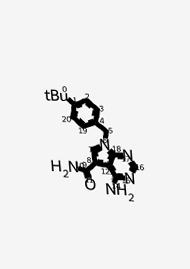 CC(C)(C)c1ccc(Cn2cc(C(N)=O)c3c(N)ncnc32)cc1